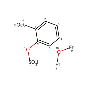 CCCCCCCCc1ccccc1OS(=O)(=O)O.CCOCC